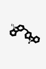 CCn1c2ccccc2c2cc(Cc3ccc4c(c3)c3ccccc3n4C)ccc21